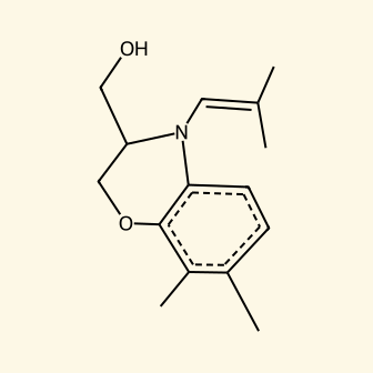 CC(C)=CN1c2ccc(C)c(C)c2OCC1CO